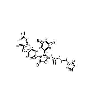 O=C1O[C@@H](CNCCCn2ccnc2)[C@H](c2cc(F)cc(F)c2)N1c1ccc(Oc2ccc(Cl)cc2)cc1